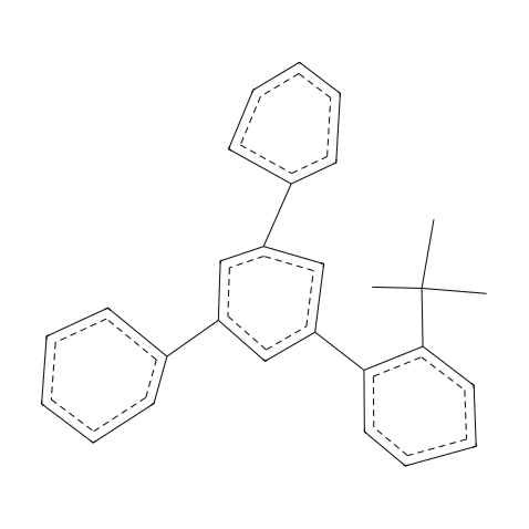 CC(C)(C)c1ccccc1-c1cc(-c2ccccc2)cc(-c2ccccc2)c1